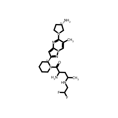 Cc1cn2nc([C@@H]3CCCCN3C(=O)C(N)CC(C)NCC(F)F)cc2nc1N1CC[C@H](N)C1